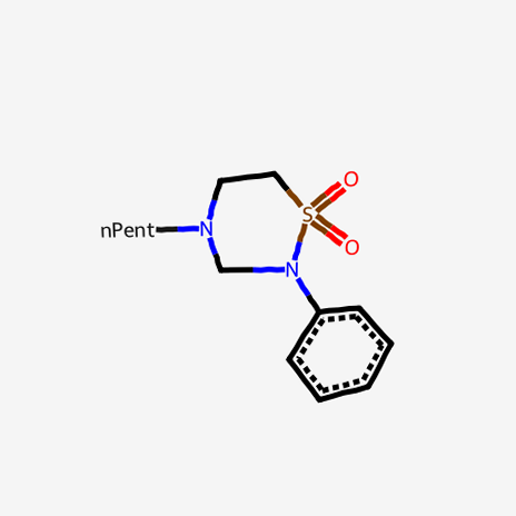 CCCCCN1CCS(=O)(=O)N(c2ccccc2)C1